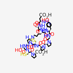 NCCCC[C@H](NC(=O)[C@H](CO)NC(=O)[C@@H](N)CCC(=O)O)C(=O)N[C@@H](Cc1ccc(O)cc1)C(=O)NCC(=O)N1CCC[C@H]1C(=O)N1CCC[C@H]1C(=O)N[C@@H](CS)C(=O)N1CCC[C@H]1C(=O)N[C@@H](CO)C(=O)N[C@@H](CS)C(=O)N1CCC[C@H]1C(=O)O